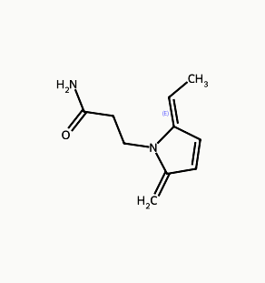 C=c1cc/c(=C\C)n1CCC(N)=O